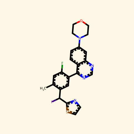 Cc1cc(F)c(-c2ncnc3cc(N4CCOCC4)ccc23)cc1C(I)c1nccs1